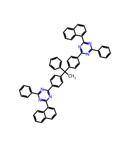 CC(c1ccccc1)(c1ccc(-c2nc(-c3ccccc3)nc(-c3cccc4ccccc34)n2)cc1)c1ccc(-c2nc(-c3ccccc3)nc(-c3cccc4ccccc34)n2)cc1